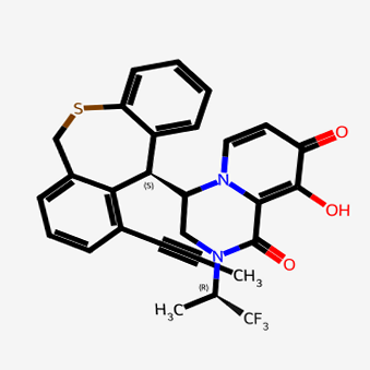 CC#Cc1cccc2c1[C@H](C1CN([C@H](C)C(F)(F)F)C(=O)c3c(O)c(=O)ccn31)c1ccccc1SC2